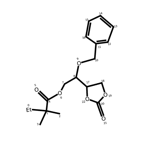 CCC(C)(C)C(=O)OCC(OCc1ccccc1)C1COC(=O)O1